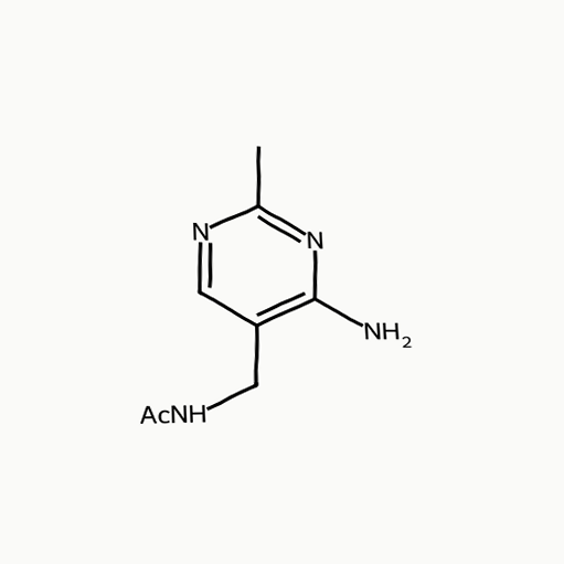 CC(=O)NCc1cnc(C)nc1N